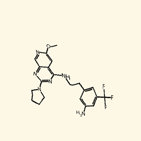 COc1cc2c(NCCc3cc(N)cc(C(F)(F)F)c3)nc(N3CCCC3)nc2cn1